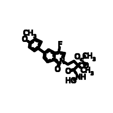 COc1ccc(-c2ccc3c(=O)n(CCC(C)(C(=O)NO)S(C)(=O)=O)cc(F)c3c2)cc1